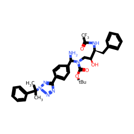 CC(C)(C)OC(=O)N(C[C@H](O)[C@H](Cc1ccccc1)NC(=O)C(F)(F)F)C(N)c1ccc(-c2nnn(C(C)(C)c3ccccc3)n2)cc1